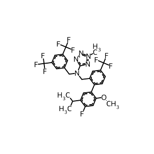 COc1cc(F)c(C(C)C)cc1-c1ccc(C(F)(F)F)cc1CN(Cc1cc(C(F)(F)F)cc(C(F)(F)F)c1)c1nnn(C)n1